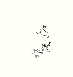 Cc1cc(Br)cc(CCC[C@H](C)NC(=O)OCc2ccccc2)c1